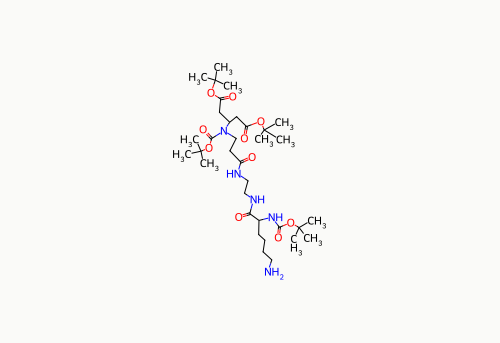 CC(C)(C)OC(=O)CC(CC(=O)OC(C)(C)C)N(CCC(=O)NCCNC(=O)C(CCCCN)NC(=O)OC(C)(C)C)C(=O)OC(C)(C)C